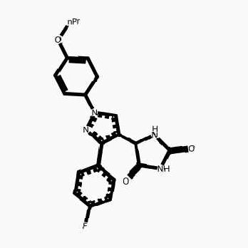 CCCOC1=CCC(n2cc(C3NC(=O)NC3=O)c(-c3ccc(F)cc3)n2)C=C1